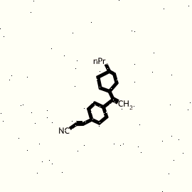 C=C(C1CCC(C=CC#N)CC1)C1CCC(CCC)CC1